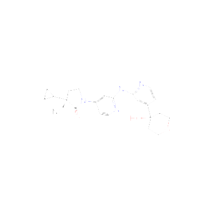 N#C[C@@]1(C2CC2)CCN(c2ccnc(Nc3cc(C4(O)CCOCC4)ccn3)c2)C1=O